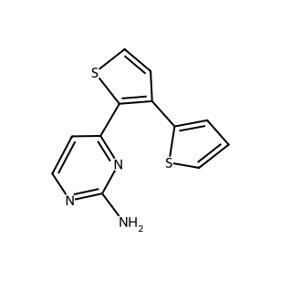 Nc1nccc(-c2sccc2-c2cccs2)n1